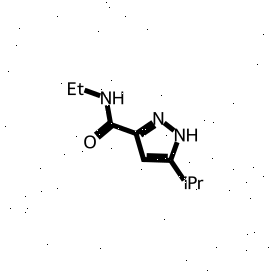 CCNC(=O)c1cc(C(C)C)[nH]n1